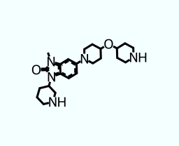 Cn1c(=O)n(C2CCCNC2)c2ccc(N3CCC(OC4CCNCC4)CC3)cc21